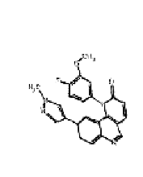 COc1cc(-n2c(=O)ccc3cnc4c(c32)=CC(c2cnn(C)c2)CC=4)ccc1F